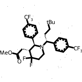 COC(=O)C[C@@H]1[C@@H](c2ccc(C(F)(F)F)cc2)N([C@H](CCC(C)(C)C)c2ccc(C(F)(F)F)cc2)CCC1(F)F